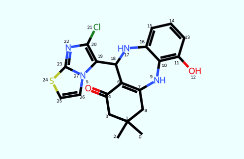 CC1(C)CC(=O)C2=C(C1)Nc1c(O)cccc1NC2c1c(Cl)nc2sccn12